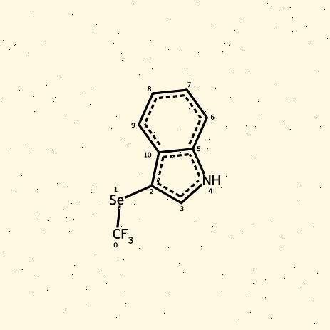 FC(F)(F)[Se]c1c[nH]c2ccccc12